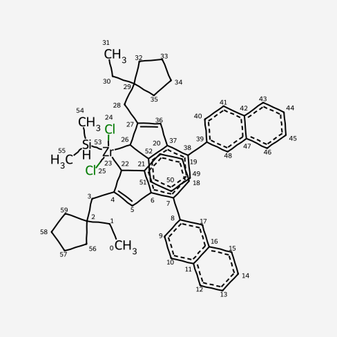 CCC1(CC2=Cc3c(-c4ccc5ccccc5c4)cccc3[CH]2[Zr]([Cl])([Cl])([CH]2C(CC3(CC)CCCC3)=Cc3c(-c4ccc5ccccc5c4)cccc32)[SiH](C)C)CCCC1